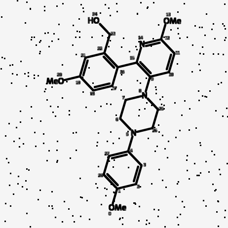 COc1ccc(N2CCN(c3ccc(OC)nc3-c3ccc(OC)cc3CO)CC2)cc1